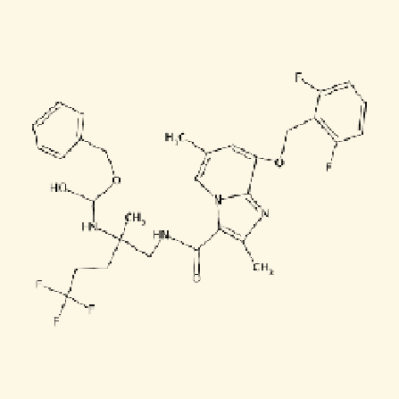 Cc1cc(OCc2c(F)cccc2F)c2nc(C)c(C(=O)NCC(C)(CCC(F)(F)F)NC(O)OCc3ccccc3)n2c1